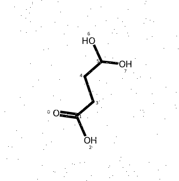 O=C(O)CCC(O)O